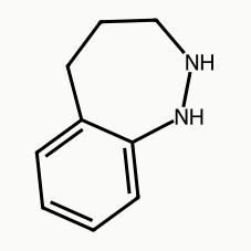 c1ccc2c(c1)CCCNN2